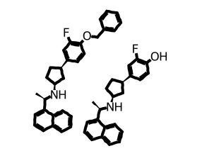 C[C@@H](N[C@H]1CC[C@@H](c2ccc(O)c(F)c2)C1)c1cccc2ccccc12.C[C@@H](N[C@H]1CC[C@@H](c2ccc(OCc3ccccc3)c(F)c2)C1)c1cccc2ccccc12